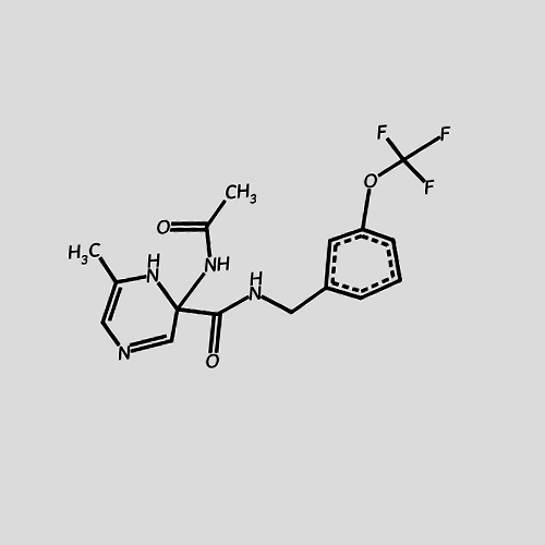 CC(=O)NC1(C(=O)NCc2cccc(OC(F)(F)F)c2)C=NC=C(C)N1